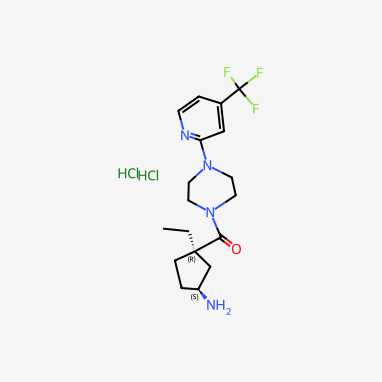 CC[C@@]1(C(=O)N2CCN(c3cc(C(F)(F)F)ccn3)CC2)CC[C@H](N)C1.Cl.Cl